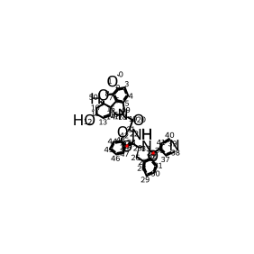 COc1ccc2c3c1O[C@H]1C[C@@H](O)C=C[C@@]31CCN(C(=O)[C@@H](NC(=O)[C@H](Cc1ccccc1)NC(=O)c1ccncc1)Oc1ccccc1)C2